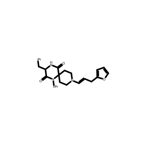 CCCN1C(=O)C(CC(C)C)NC(=O)C12CCN(/C=C/Cc1ccco1)CC2